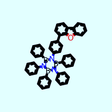 c1ccc(B2N(c3ccccc3)B(c3ccccc3)N(c3ccc(-c4cccc5c4oc4ccccc45)cc3)B(c3ccccc3)N2c2ccccc2)cc1